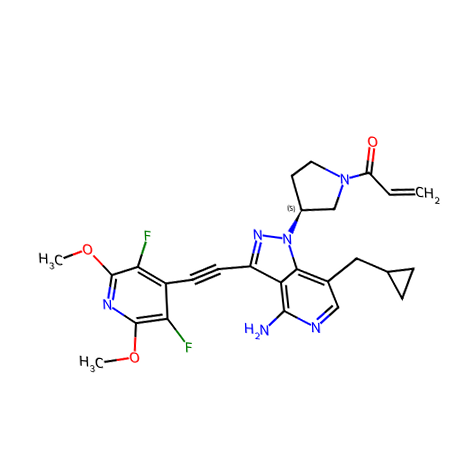 C=CC(=O)N1CC[C@H](n2nc(C#Cc3c(F)c(OC)nc(OC)c3F)c3c(N)ncc(CC4CC4)c32)C1